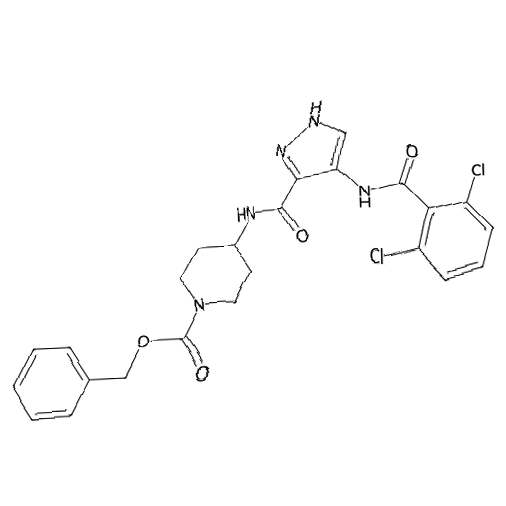 O=C(NC1CCN(C(=O)OCc2ccccc2)CC1)c1n[nH]cc1NC(=O)c1c(Cl)cccc1Cl